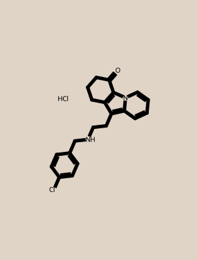 Cl.O=C1CCCc2c(CCNCc3ccc(Cl)cc3)c3ccccn3c21